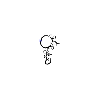 CCC[C@@H]1NC(=O)[C@@H](CC(=O)NOC2CCCCO2)CCC/C=C/CCCN(C)C1=O